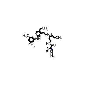 CCCC(CCNC(=O)/C(=C/N)N=N)NCCc1nc(Nc2cc(C)cc(C)c2)ncc1CC